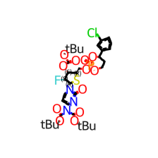 CC(C)(C)OC(=O)O[C@H]1[C@H](F)[C@H](n2ccc(N(C(=O)OC(C)(C)C)C(=O)OC(C)(C)C)nc2=O)S[C@@H]1COP1(=O)OCCC(c2cccc(Cl)c2)O1